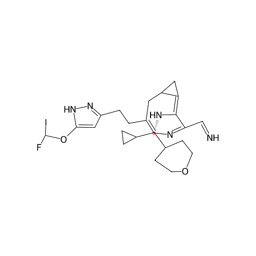 N=CC1=N/C=C(/CCc2cc(OC(F)I)[nH]n2)CC2C/C2=C\1N[C@H](C1CCOCC1)C1CC1